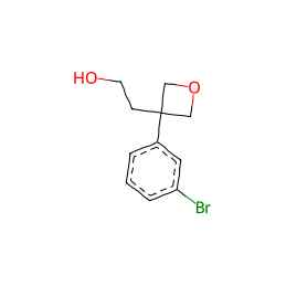 OCCC1(c2cccc(Br)c2)COC1